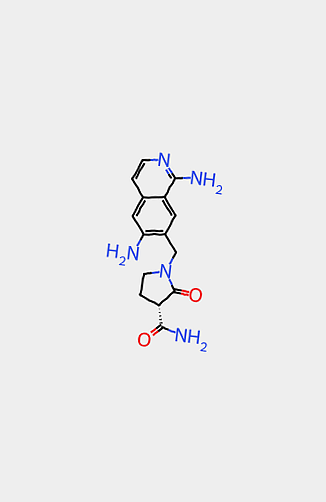 NC(=O)[C@@H]1CCN(Cc2cc3c(N)nccc3cc2N)C1=O